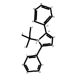 CC(C)(C)n1c(-c2ccccc2)ccc1-c1ccccc1